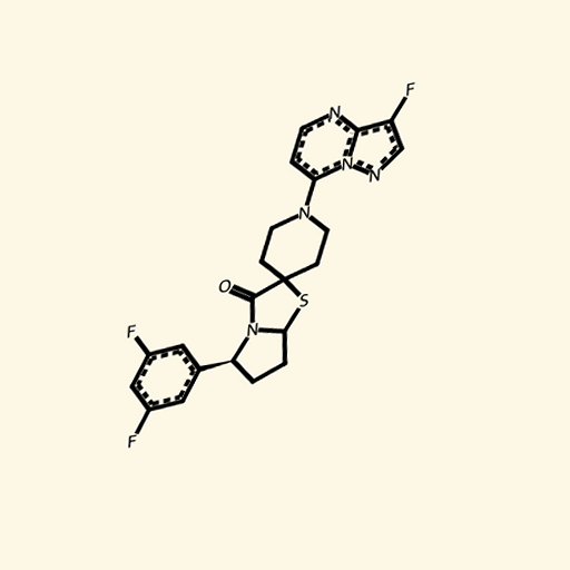 O=C1N2C(CC[C@H]2c2cc(F)cc(F)c2)SC12CCN(c1ccnc3c(F)cnn13)CC2